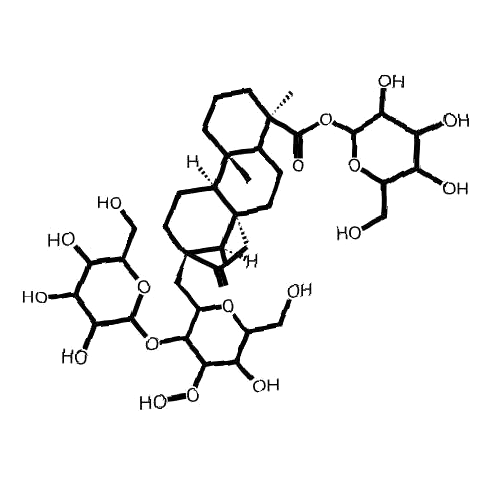 C=C1C[C@@]23CCC4[C@](C)(C(=O)OC5OC(CO)C(O)C(O)C5O)CCC[C@@]4(C)[C@@H]2CC[C@]1(CC1OC(CO)C(O)C(OO)C1OC1OC(CO)C(O)C(O)C1O)[C@@H]3C